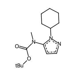 CN(C(=O)OC(C)(C)C)c1ccnn1C1CCCCC1